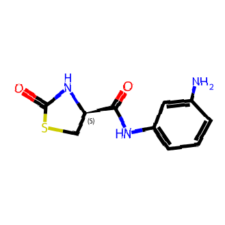 Nc1cccc(NC(=O)[C@H]2CSC(=O)N2)c1